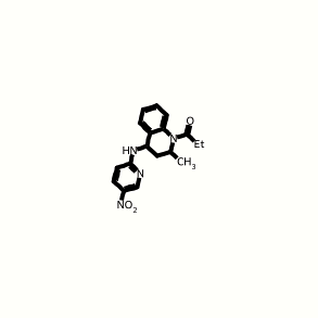 CCC(=O)N1c2ccccc2C(Nc2ccc([N+](=O)[O-])cn2)CC1C